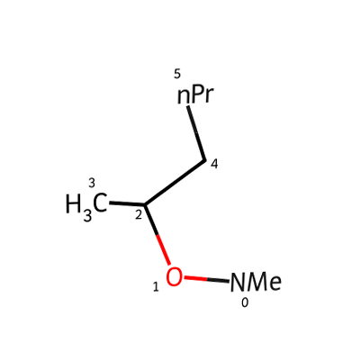 [CH2]NOC(C)CCCC